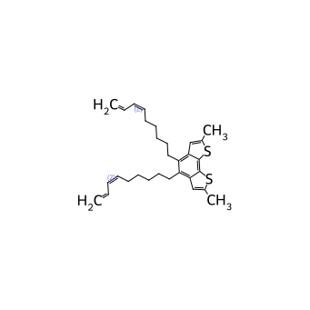 C=C/C=C\CCCCCc1c(CCCCC/C=C\C=C)c2cc(C)sc2c2sc(C)cc12